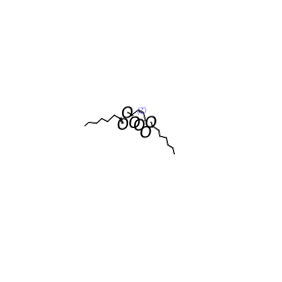 CCCCCCC(=O)OC(=O)/C=C\C(=O)OC(=O)CCCCCC